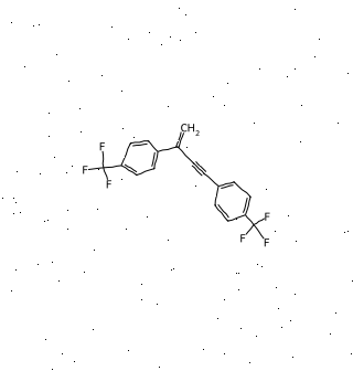 C=C(C#Cc1ccc(C(F)(F)F)cc1)c1ccc(C(F)(F)F)cc1